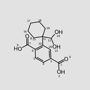 O=C(O)c1ccc(C(=O)O)c(C2(C(O)O)CCCCC2)c1